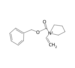 C=C[N+]1(C(=O)OCc2ccccc2)CCCC1